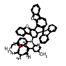 [2H]c1c([2H])c([2H])c(-c2cc(C)cnc2N(c2ccc(CC)cc2)c2cc3c(c4oc5ccccc5c24)-c2c(ccc4c2oc2ccccc24)C32c3ccccc3-c3ccccc32)c([2H])c1[2H]